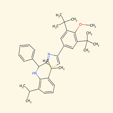 COc1c(C(C)(C)C)cc(-c2csc(C(Nc3c(C(C)C)cccc3C(C)C)c3ccccc3)n2)cc1C(C)(C)C